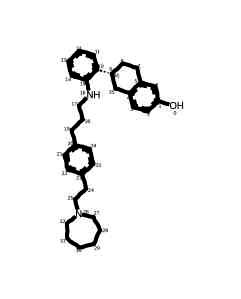 Oc1ccc2c(c1)CC[C@@H](c1ccccc1NCCCc1ccc(CCN3CCCCCC3)cc1)C2